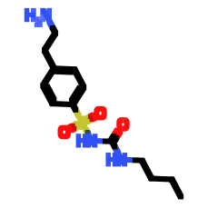 CCCCNC(=O)NS(=O)(=O)c1ccc(CCN)cc1